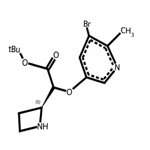 Cc1ncc(OC(C(=O)OC(C)(C)C)[C@@H]2CCN2)cc1Br